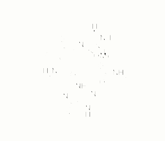 CO[C@@]12[C@H](COC(N)=O)C3=C(C(=O)C(C)=C(N)C3=O)N1C[C@@H]1N[C@@H]12.S=c1nc[nH]c2nc[nH]c12